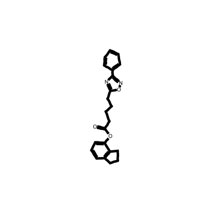 O=C(CCCCc1nc(-c2ccccc2)no1)Oc1cccc2c1CCC2